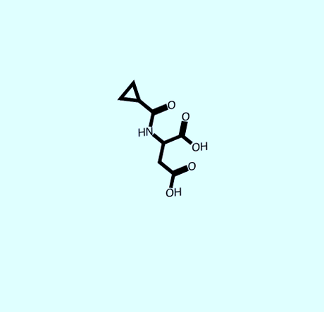 O=C(O)CC(NC(=O)C1CC1)C(=O)O